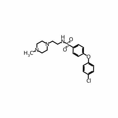 CN1CCN(CCNS(=O)(=O)c2ccc(Oc3ccc(Cl)cc3)cc2)CC1